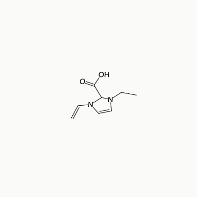 C=CN1C=CN(CC)C1C(=O)O